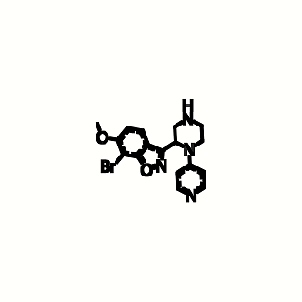 COc1ccc2c(C3CNCCN3c3ccncc3)noc2c1Br